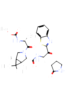 CC(C)(C)OC(=O)N[C@H](C(=O)N1C[C@H]2[C@@H]([C@H]1C(=O)N[C@@H](C[C@@H]1CCNC1=O)C(=O)c1nc3ccccc3s1)C2(C)C)C(C)(C)C